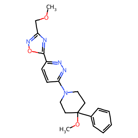 COCc1noc(-c2ccc(N3CCC(OC)(c4ccccc4)CC3)nn2)n1